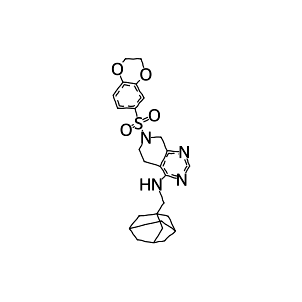 O=S(=O)(c1ccc2c(c1)OCCO2)N1CCc2c(ncnc2NCC23CC4CC(CC(C4)C2)C3)C1